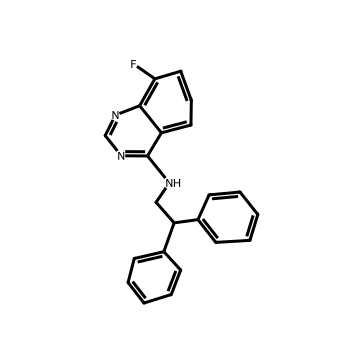 Fc1cccc2c(NCC(c3ccccc3)c3ccccc3)ncnc12